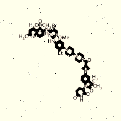 CCc1cc(Nc2ncc(Br)c(Nc3ccc4nc(C)ccc4c3P(C)(C)=O)n2)c(OC)cc1N1CCC(N2CCN(C(=O)C3CN(c4ccc5c(c4)C(C)(C)C(=O)N5C4CCC(=O)NC4=O)C3)CC2)CC1